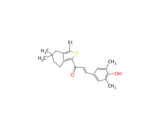 CCc1sc(C(=O)C=Cc2cc(C)c(O)c(C)c2)c2c1CC(C)(C)CC2